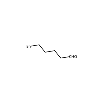 O=CCCC[CH2][Sn]